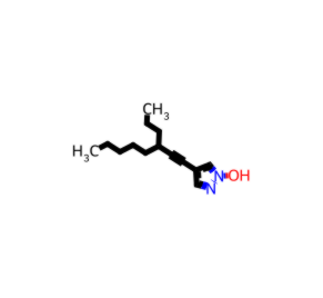 CCCCCC(C#Cc1cnn(O)c1)CCC